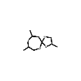 CC1COC2(CC(C)O1)OCC(C)O2